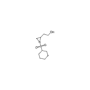 O=S(=O)(C1CCCCC1)N1CC1CCO